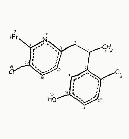 CC(C)c1nc(CC(C)c2cc(O)ccc2Cl)ccc1Cl